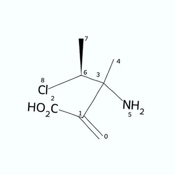 C=C(C(=O)O)C(C)(N)[C@H](C)Cl